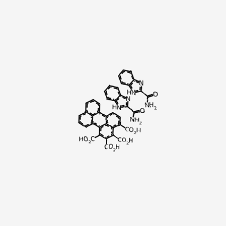 NC(=O)c1nc2ccccc2[nH]1.NC(=O)c1nc2ccccc2[nH]1.O=C(O)c1c(C(=O)O)c2c(C(=O)O)ccc3c4cccc5cccc(c(c1C(=O)O)c23)c54